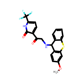 COc1ccc2c(c1)Sc1ccccc1C2NCC(=O)c1ccc(C(F)(F)F)[nH]c1=O